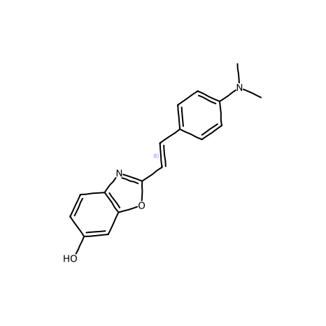 CN(C)c1ccc(/C=C/c2nc3ccc(O)cc3o2)cc1